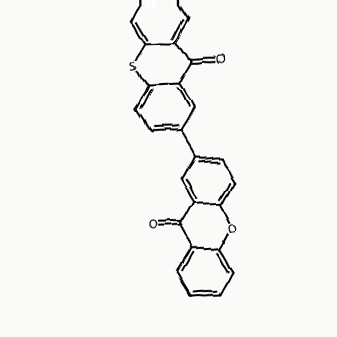 O=c1c2ccccc2oc2ccc(-c3ccc4sc5ccccc5c(=O)c4c3)cc12